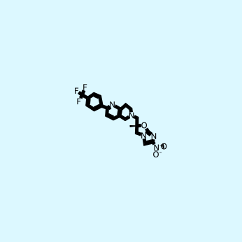 C[C@]1(CN2CCc3nc(-c4ccc(C(F)(F)F)cc4)ccc3C2)Cn2cc([N+](=O)[O-])nc2O1